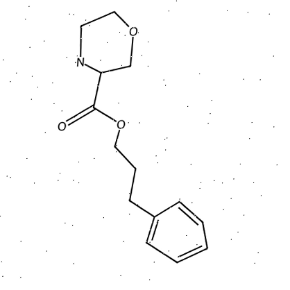 O=C(OCCCc1ccccc1)C1COCC[N]1